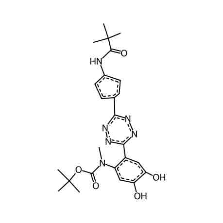 CN(C(=O)OC(C)(C)C)c1cc(O)c(O)cc1-c1nnc(-c2ccc(NC(=O)C(C)(C)C)cc2)nn1